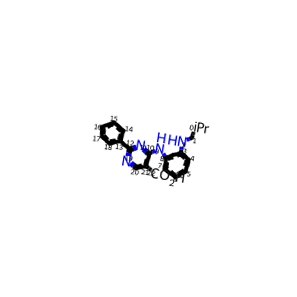 CC(C)CNc1ccccc1Nc1nc(-c2ccccc2)ncc1C(=O)O